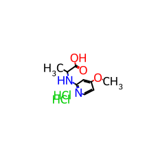 COc1ccnc(NC(C)C(=O)O)c1.Cl.Cl